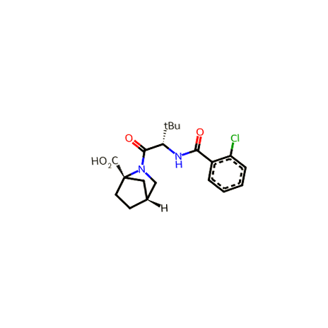 CC(C)(C)[C@H](NC(=O)c1ccccc1Cl)C(=O)N1C[C@@H]2CC[C@@]1(C(=O)O)C2